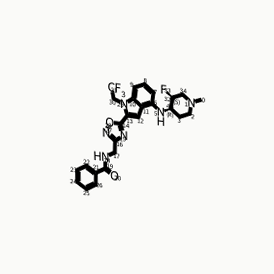 CN1CC[C@@H](Nc2cccc3c2cc(-c2nc(CNC(=O)c4ccccc4)no2)n3CC(F)(F)F)[C@@H](F)C1